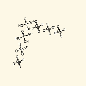 O=[P](O)(O)[W+5].O=[P](O)(O)[W+5].[O]=[Mo](=[O])([O-])[O-].[O]=[Mo](=[O])([O-])[O-].[O]=[Mo](=[O])([O-])[O-].[O]=[Mo](=[O])([O-])[O-].[O]=[Mo](=[O])([O-])[O-]